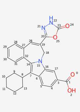 O=C(O)c1ccc2c(C3CCCCC3)c3n(c2c1)CC(c1n[nH]c(=O)o1)=Cc1ccccc1-3